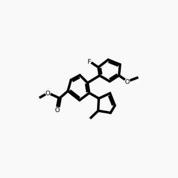 COC(=O)c1ccc(-c2cc(OC)ccc2F)c(C2C=CCC2C)c1